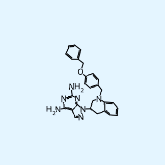 Nc1nc(N)c2cnn(C3Cc4ccccc4N(Cc4ccc(OCc5ccccc5)cc4)C3)c2n1